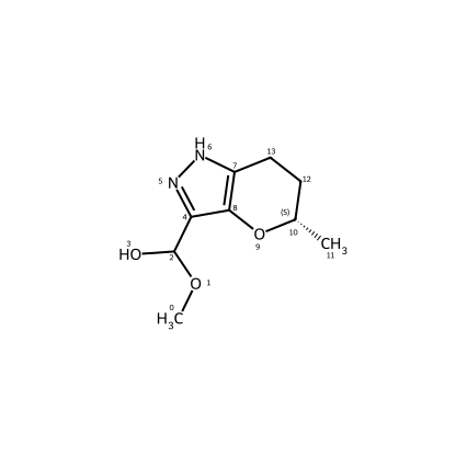 COC(O)c1n[nH]c2c1O[C@@H](C)CC2